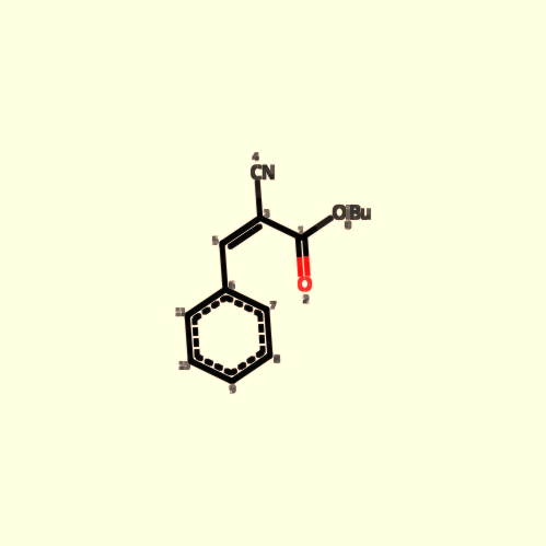 CC(C)COC(=O)C(C#N)=Cc1ccccc1